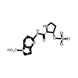 CC[Si](CC)(CC)O[C@@H]1CCN[C@H]1C(=O)Nc1ccc2c(ccn2C(=O)O)n1